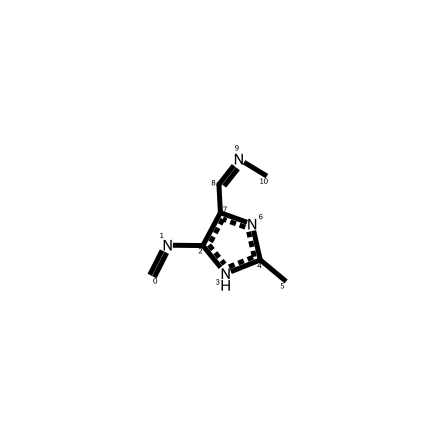 C=Nc1[nH]c(C)nc1/C=N\C